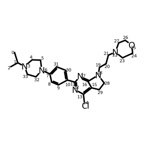 CC(C)N1CCN(c2ccc(-c3nc(Cl)c4c(n3)N(CCCN3CCOCC3)CC4)cc2)CC1